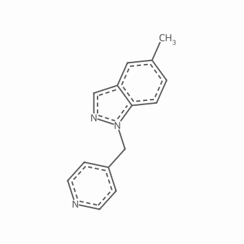 Cc1ccc2c(cnn2Cc2ccncc2)c1